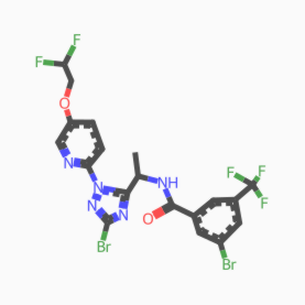 CC(NC(=O)c1cc(Br)cc(C(F)(F)F)c1)c1nc(Br)nn1-c1ccc(OCC(F)F)cn1